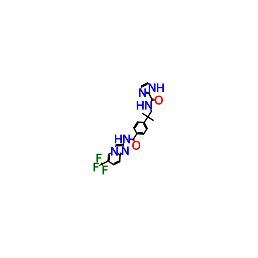 CC(C)(CNC(=O)c1ncc[nH]1)c1ccc(C(=O)Nc2cn3cc(C(F)(F)F)ccc3n2)cc1